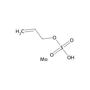 C=CCOS(=O)(=O)O.[Mo]